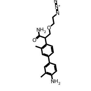 Cc1cc(-c2ccc(C(COCCN=[N+]=[N-])C(N)=O)c(C)c2)ccc1N